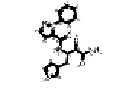 NC(=O)C(=O)C(Cc1ccsc1)NC(=O)c1ccnn1-c1ccccc1